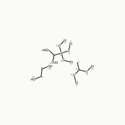 CCCCCCCCCC(C=O)[Si](OCC)(OCC)OCC.CCOC(C)OCC.OCCO